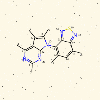 Cc1nc(C)c2c(C)c(C)n(-c3c(C)cc(C)c4nsnc34)c2n1